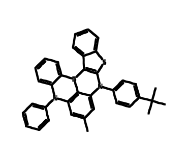 Cc1cc2c3c(c1)N(c1ccc(C(C)(C)C)cc1)c1sc4ccccc4c1B3c1ccccc1N2c1ccccc1